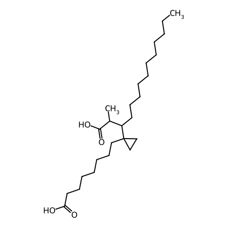 CCCCCCCCCCCC(C(C)C(=O)O)C1(CCCCCCCC(=O)O)CC1